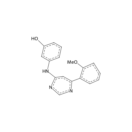 COc1ccccc1-c1cc(Nc2cccc(O)c2)ncn1